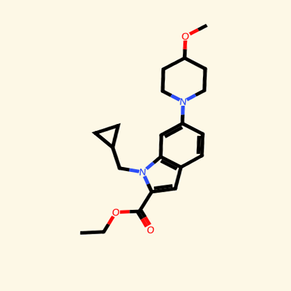 CCOC(=O)c1cc2ccc(N3CCC(OC)CC3)cc2n1CC1CC1